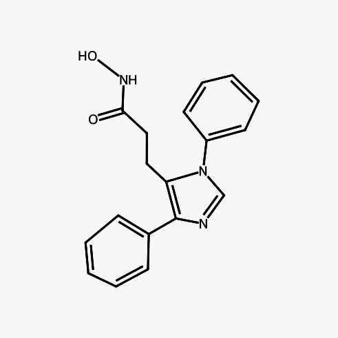 O=C(CCc1c(-c2ccccc2)ncn1-c1ccccc1)NO